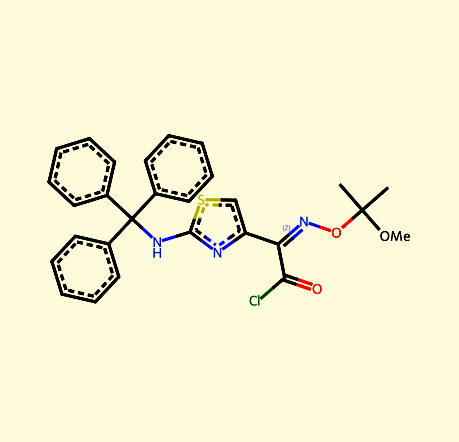 COC(C)(C)O/N=C(\C(=O)Cl)c1csc(NC(c2ccccc2)(c2ccccc2)c2ccccc2)n1